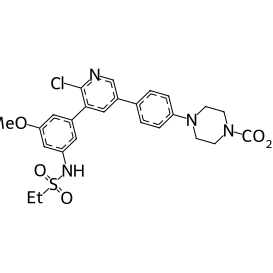 CCS(=O)(=O)Nc1cc(OC)cc(-c2cc(-c3ccc(N4CCN(C(=O)O)CC4)cc3)cnc2Cl)c1